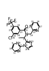 CC(c1ncnn1-c1ncccn1)N(Cc1ncccn1)C(=O)c1cc(Cl)cc(C(F)(F)F)c1